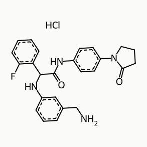 Cl.NCc1cccc(NC(C(=O)Nc2ccc(N3CCCC3=O)cc2)c2ccccc2F)c1